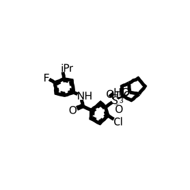 CC(C)c1cc(NC(=O)c2ccc(Cl)c(S(=O)(=O)[C@H]3CC4CCC(C3)[C@@]4(C)O)c2)ccc1F